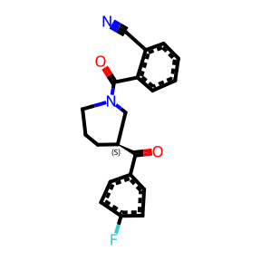 N#Cc1ccccc1C(=O)N1CCC[C@H](C(=O)c2ccc(F)cc2)C1